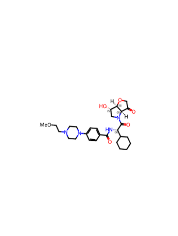 COCCN1CCN(c2ccc(C(=O)N[C@H](C(=O)N3C[C@H](O)[C@H]4OCC(=O)[C@H]43)C3CCCCC3)cc2)CC1